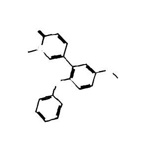 COc1ccc(Oc2ccccc2)c(-c2ccc(=O)n(C)c2)c1